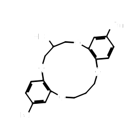 CC1COc2ccc(C(C)(C)C)cc2OCCCOc2ccc(C(C)(C)C)cc2OC1